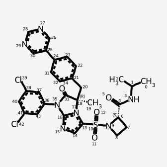 CC(C)NC(=O)[C@@H]1CCN1S(=O)(=O)c1cnc2n1[C@](C)(Cc1ccc(-c3cncnc3)cc1)C(=O)N2c1cc(Cl)cc(Cl)c1